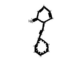 N=C1C=CC=CC1C=Cc1ccccc1